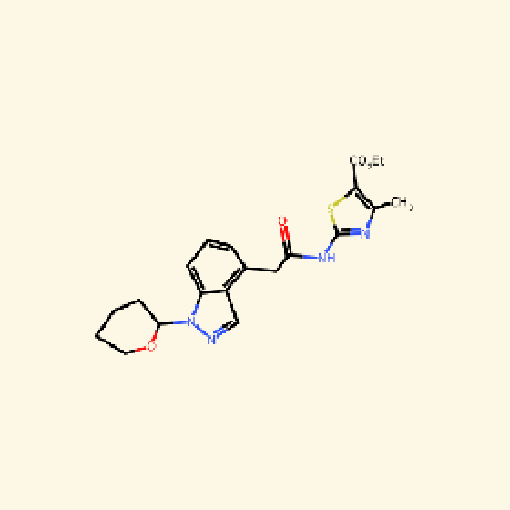 CCOC(=O)c1sc(NC(=O)Cc2cccc3c2cnn3C2CCCCO2)nc1C